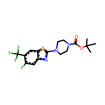 CC(C)(C)OC(=O)N1CCN(c2nc3cc(F)c(C(F)(F)F)cc3s2)CC1